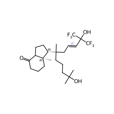 CC(C)(O)CCCC(C)(C/C=C/C(O)(C(F)(F)F)C(F)(F)F)[C@H]1CCC2C(=O)CCC[C@@]21C